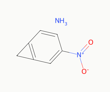 N.O=[N+]([O-])c1ccc2c(c1)C2